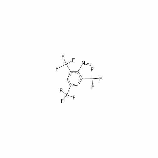 C=Nc1c(C(F)(F)F)cc(C(F)(F)F)cc1C(F)(F)F